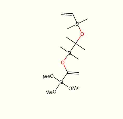 C=C[Si](C)(C)OC(C)(C)[Si](C)(C)OC(=C)[Si](OC)(OC)OC